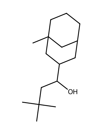 CC(C)(C)CC(O)C1CC2CCCC(C)(C2)C1